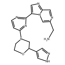 NCc1cn2c(-c3nccc(N4CCOC(c5cn[nH]c5)C4)n3)cnc2cn1